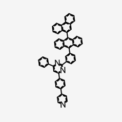 c1ccc(-c2cc(-c3ccc(-c4ccncc4)cc3)nc(-c3cccc(-c4c5ccccc5c(-c5cc6ccccc6c6ccccc56)c5ccccc45)c3)n2)cc1